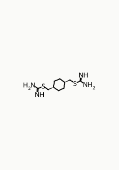 N=C(N)SC[C@H]1CC[C@@H](CSC(=N)N)CC1